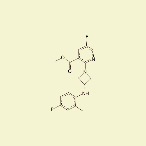 COC(=O)c1cc(F)cnc1N1CC(Nc2ccc(F)cc2C)C1